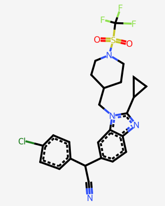 N#CC(c1ccc(Cl)cc1)c1ccc2nc(C3CC3)n(CC3CCN(S(=O)(=O)C(F)(F)F)CC3)c2c1